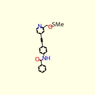 CSOCc1cc(C#Cc2ccc(NC(=O)c3ccccc3)cc2)ccn1